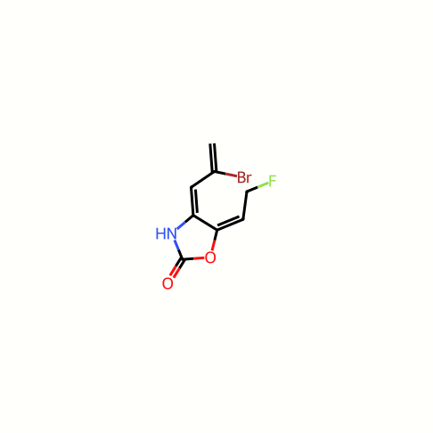 C=C(Br)/C=c1/[nH]c(=O)o/c1=C/CF